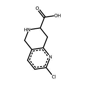 O=C(O)C1Cc2nc(Cl)ccc2CN1